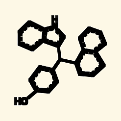 Oc1ccc(C(c2cccc3ccccc23)c2c[nH]c3ccccc23)cc1